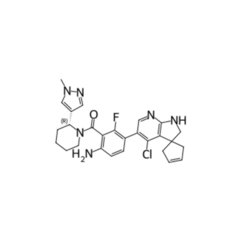 Cn1cc([C@H]2CCCCN2C(=O)c2c(N)ccc(-c3cnc4c(c3Cl)C3(CC=CC3)CN4)c2F)cn1